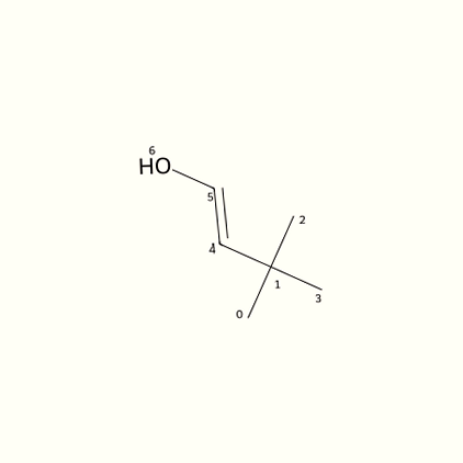 CC(C)(C)[C]=CO